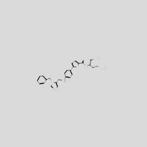 COC(=O)C(CCSC)NC(=O)c1ccc(-c2ccc(NCc3cncn3Cc3ccccc3)cc2)o1